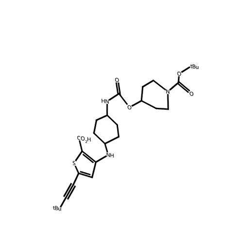 CC(C)(C)C#Cc1cc(NC2CCC(NC(=O)OC3CCN(C(=O)OC(C)(C)C)CC3)CC2)c(C(=O)O)s1